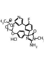 CN1C(=O)C(c2ccc(OC(F)F)cc2)(c2ccc(F)c(-c3cncc(OS(C)(=O)=O)c3)c2)N=C1N.Cl